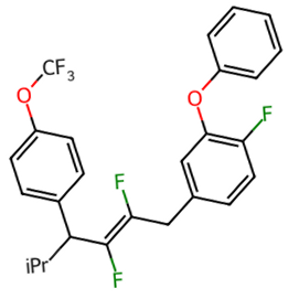 CC(C)C(/C(F)=C(\F)Cc1ccc(F)c(Oc2ccccc2)c1)c1ccc(OC(F)(F)F)cc1